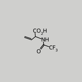 C=CC(NC(=O)C(F)(F)F)C(=O)O